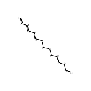 C=C/C=C/C=[C]/CCCCCCCCC